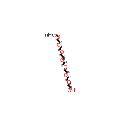 CCCCCCOCCOCCOCCOCCOCCOCCOCCO